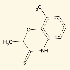 Cc1cccc2c1OC(C)C(=S)N2